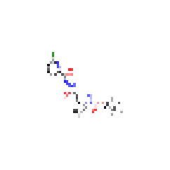 C[C@@H](CCC(=O)NNC(=O)c1cccc(Br)n1)NC(=O)OC(C)(C)C